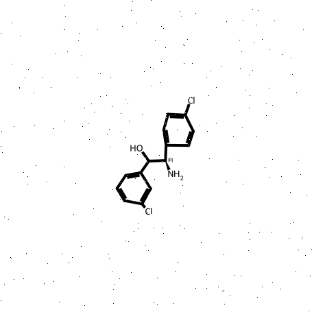 N[C@H](c1ccc(Cl)cc1)C(O)c1cccc(Cl)c1